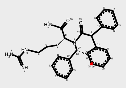 N=C(N)NCCC[C@H](C(N)=O)N(C(=O)C(c1ccccc1)c1ccccc1)[C@H](CO)c1ccccc1